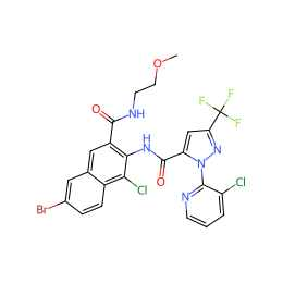 COCCNC(=O)c1cc2cc(Br)ccc2c(Cl)c1NC(=O)c1cc(C(F)(F)F)nn1-c1ncccc1Cl